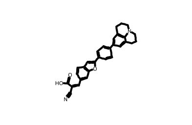 N#C/C(=C/c1ccc2cc(-c3ccc(-c4cc5c6c(c4)CCCN6CCC5)cc3)oc2c1)C(=O)O